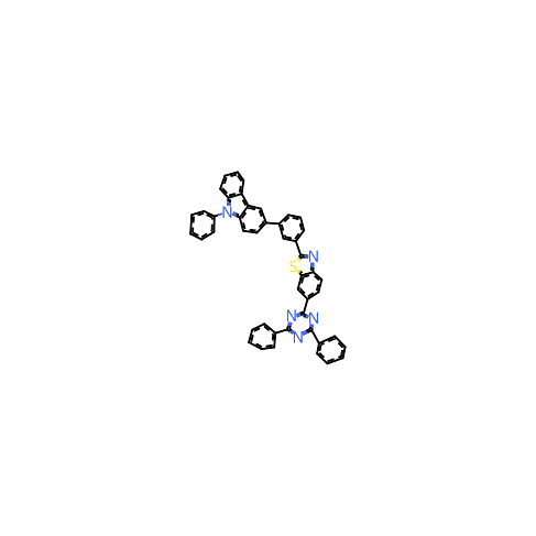 c1ccc(-c2nc(-c3ccccc3)nc(-c3ccc4nc(-c5cccc(-c6ccc7c(c6)c6ccccc6n7-c6ccccc6)c5)sc4c3)n2)cc1